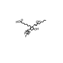 CCCCC[C@H](O)C=C[C@@H]1C(CCCCCCC(=O)O)=C(OS(=O)(=O)C(F)(F)F)C[C@H]1O